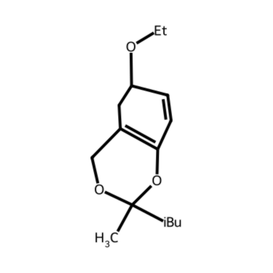 CCOC1C=CC2=C(COC(C)(C(C)CC)O2)C1